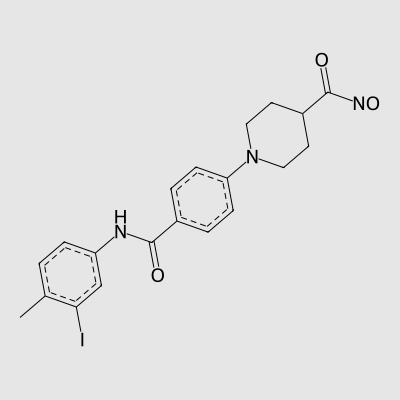 Cc1ccc(NC(=O)c2ccc(N3CCC(C(=O)N=O)CC3)cc2)cc1I